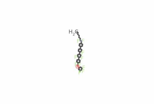 C=CCCCC/C(F)=C(\F)c1ccc(-c2ccc(-c3cc(F)c(-c4ccc(C(F)(F)Oc5cc(F)c(F)c(F)c5)cc4)c(F)c3)c(F)c2)cc1